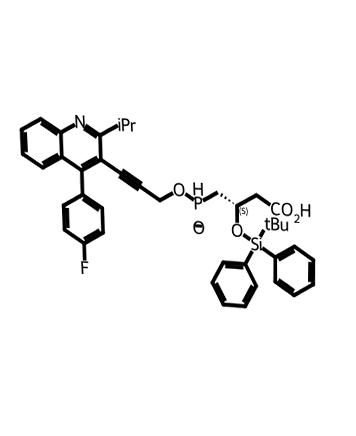 CC(C)c1nc2ccccc2c(-c2ccc(F)cc2)c1C#CCO[PH](=O)C[C@H](CC(=O)O)O[Si](c1ccccc1)(c1ccccc1)C(C)(C)C